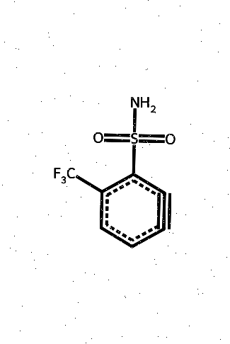 NS(=O)(=O)c1c#cccc1C(F)(F)F